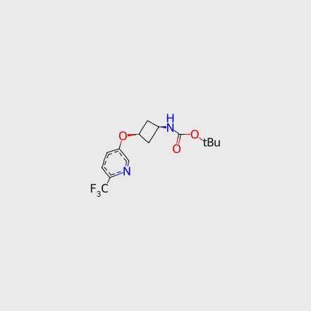 CC(C)(C)OC(=O)N[C@H]1C[C@@H](Oc2ccc(C(F)(F)F)nc2)C1